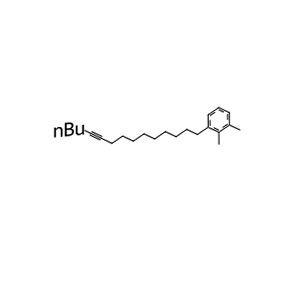 CCCCC#CCCCCCCCCCc1cccc(C)c1C